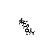 Cn1nc(C(F)(C(F)(F)F)C(F)(F)F)c2c1-n1ncc(-c3ccc(Cl)c(C(=O)NC4CC4)c3)c1C(F)O2